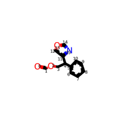 O=COCC(c1ccccc1)c1cocn1